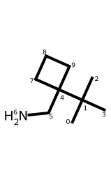 CC(C)(C)C1(CN)CCC1